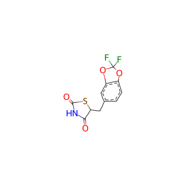 O=C1NC(=O)C(Cc2ccc3c(c2)OC(F)(F)O3)S1